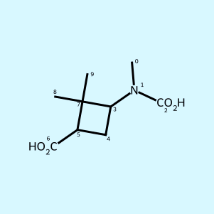 CN(C(=O)O)C1CC(C(=O)O)C1(C)C